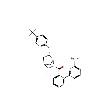 C[C@@H]1[C@H]2C[C@@H](Oc3ccc(C(F)(F)F)cn3)[C@H](C2)N1C(=O)c1ccccc1-c1cccc([N+](=O)[O-])n1